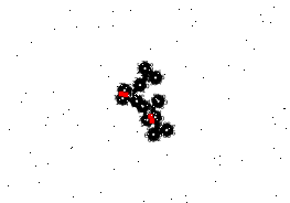 c1ccc(-c2cc3cc(-c4ccccc4)c(N(c4ccccc4)c4ccc(-n5c6ccccc6c6ccccc65)cc4)cc3cc2N(c2ccccc2)c2ccc(-n3c4ccccc4c4ccccc43)cc2)cc1